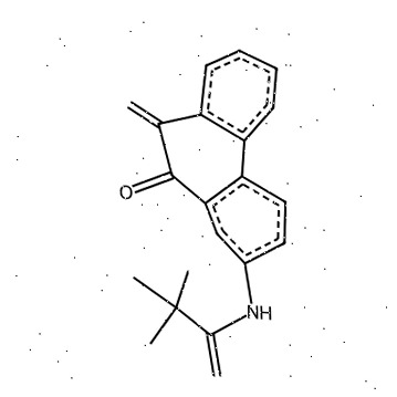 C=C1C(=O)c2cc(NC(=C)C(C)(C)C)ccc2-c2ccccc21